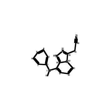 CN(c1ccccc1)c1cccn2c(CC#N)nnc12